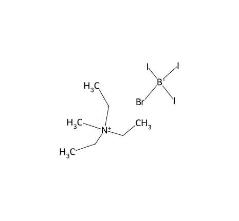 Br[B-](I)(I)I.CC[N+](C)(CC)CC